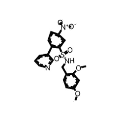 COc1ccc(CNS(=O)(=O)c2cc([N+](=O)[O-])ccc2-c2cccnc2)c(OC)c1